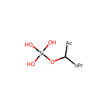 CCCC(O[Si](O)(O)O)C(C)=O